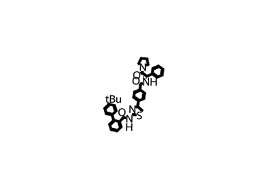 CC(C)(C)c1ccc(-c2ccccc2C(=O)NC2=NC(c3ccc(C(=O)N[C@H](C(=O)N4CCCC4)c4ccccc4)cc3)CS2)cc1